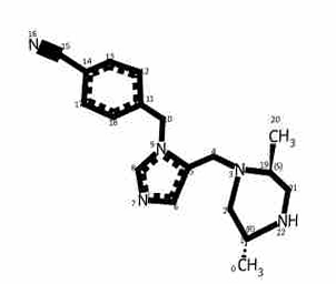 C[C@@H]1CN(Cc2cncn2Cc2ccc(C#N)cc2)[C@@H](C)CN1